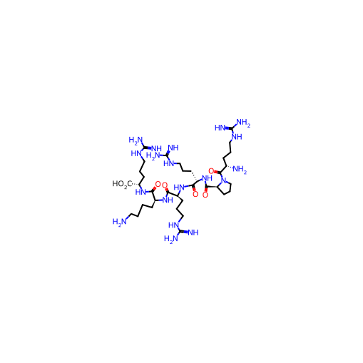 N=C(N)NCCC[C@H](NC(=O)[C@H](CCCCN)NC(=O)[C@H](CCCNC(=N)N)NC(=O)[C@H](CCCNC(=N)N)NC(=O)[C@@H]1CCCN1C(=O)[C@@H](N)CCCNC(=N)N)C(=O)O